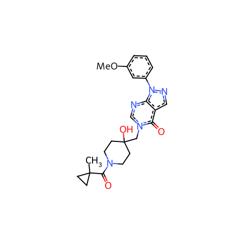 COc1cccc(-n2ncc3c(=O)n(CC4(O)CCN(C(=O)C5(C)CC5)CC4)cnc32)c1